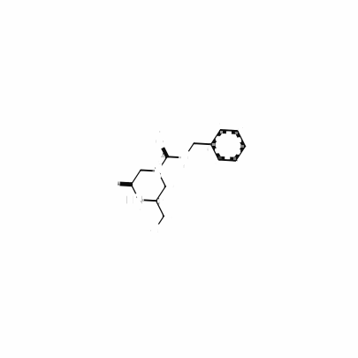 O=C1CN(C(=O)OCc2ccccc2)CC(CO)N1